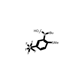 CSc1ccc(S(F)(F)(F)(F)F)cc1N(C(=O)O)C(C)(C)C